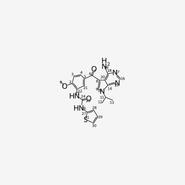 COc1ccc(C(=O)c2cn(C(C)C)c3ncnc(N)c23)cc1NC(=O)Nc1cccs1